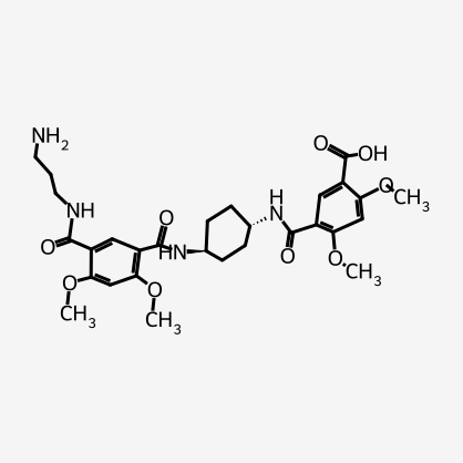 COc1cc(OC)c(C(=O)N[C@H]2CC[C@H](NC(=O)c3cc(C(=O)NCCCN)c(OC)cc3OC)CC2)cc1C(=O)O